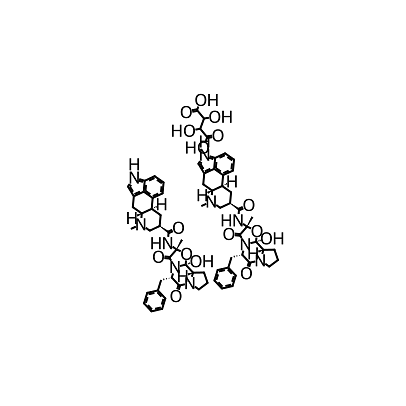 CN1C[C@H](C(=O)N[C@]2(C)O[C@@]3(O)[C@@H]4CCCN4C(=O)[C@H](Cc4ccccc4)N3C2=O)C[C@@H]2c3cccc4[nH]cc(c34)C[C@H]21.CN1C[C@H](C(=O)N[C@]2(C)O[C@@]3(O)[C@@H]4CCCN4C(=O)[C@H](Cc4ccccc4)N3C2=O)C[C@@H]2c3cccc4[nH]cc(c34)C[C@H]21.O=C(O)C(O)C(O)C(=O)O